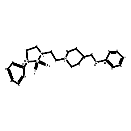 O=S1(=O)N(CCN2CCC(COc3ccccc3)CC2)CCN1c1ccccc1